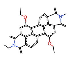 C=C1c2ccc3c4c(OCC)cc5c6c(ccc(c7c(OCC)cc(c2c37)C(=C)N1C)c64)C(=C)N(CC)C5=C